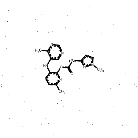 Cc1ccc(Nc2cncnc2C)c(OC(=O)Nc2ccn(C)n2)n1